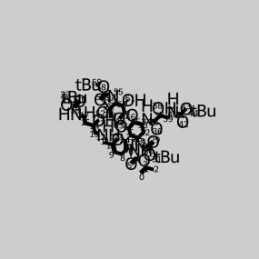 C=C(C)OC(=O)N[C@@H]1CC=C(CNCC(O)CCNC(=O)OC(C)(C)C)O[C@@H]1C1[C@@H](NC(=O)OC(C)(C)C)C[C@@H](NC(=O)[C@@H](O)CNC(=O)OC(C)(C)C)[C@H](O[C@H]2OC[C@](C)(O)[C@H](N(C)C(=O)OC(C)(C)C)[C@H]2O)[C@H]1O